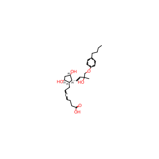 CCCCc1ccc(OCC(C)(O)C=C[C@@H]2[C@@H](CC=C=CCCC(=O)O)[C@@H](O)C[C@H]2O)cc1